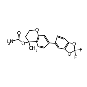 CC1(OC(N)=O)CCOc2cc(-c3ccc4c(c3)OC(F)(F)O4)ccc21